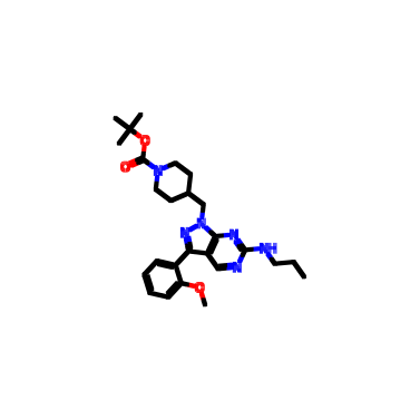 CCCNc1ncc2c(-c3ccccc3OC)nn(CC3CCN(C(=O)OC(C)(C)C)CC3)c2n1